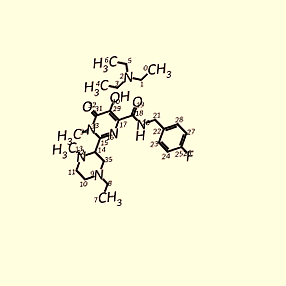 CCN(CC)CC.CCN1CCN(C)C(c2nc(C(=O)NCc3ccc(F)cc3)c(O)c(=O)n2C)C1